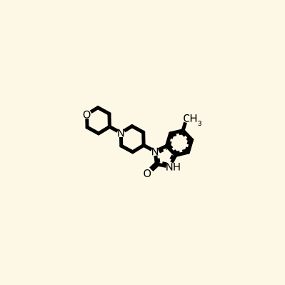 Cc1ccc2[nH]c(=O)n(C3CCN(C4CCOCC4)CC3)c2c1